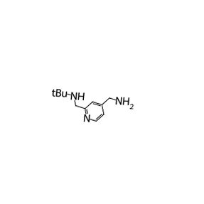 CC(C)(C)NCc1cc(CN)ccn1